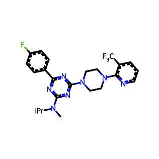 CC(C)N(C)c1nc(-c2ccc(F)cc2)nc(N2CCN(c3ncccc3C(F)(F)F)CC2)n1